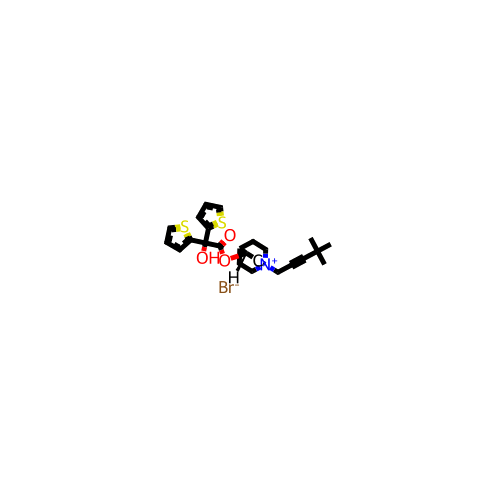 CC(C)(C)C#CC[N+]12CCC(CC1)[C@@H](OC(=O)C(O)(c1cccs1)c1cccs1)C2.[Br-]